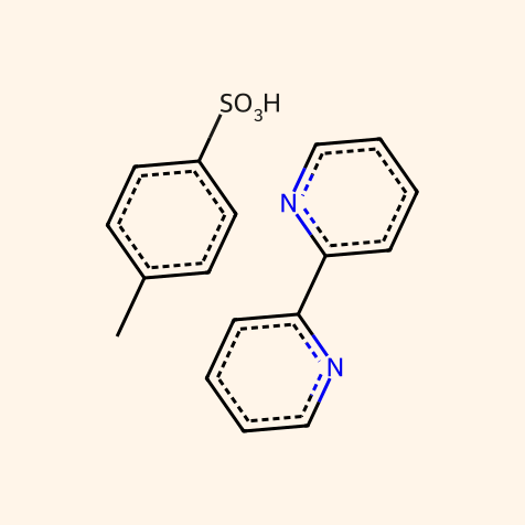 Cc1ccc(S(=O)(=O)O)cc1.c1ccc(-c2ccccn2)nc1